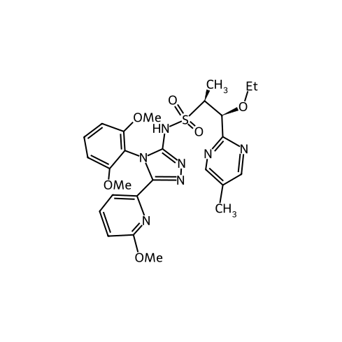 CCO[C@@H](c1ncc(C)cn1)[C@H](C)S(=O)(=O)Nc1nnc(-c2cccc(OC)n2)n1-c1c(OC)cccc1OC